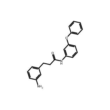 Nc1cccc(CCC(=O)Nc2cccc(Oc3ccccc3)c2)c1